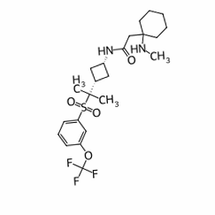 CNC1(CC(=O)N[C@H]2C[C@@H](C(C)(C)S(=O)(=O)c3cccc(OC(F)(F)F)c3)C2)CCCCC1